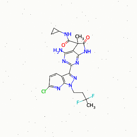 CC(F)(F)CCn1nc(-c2nc(N)c3c(n2)NC(=O)C3(C)C(=O)NC2CC2)c2ccc(Cl)nc21